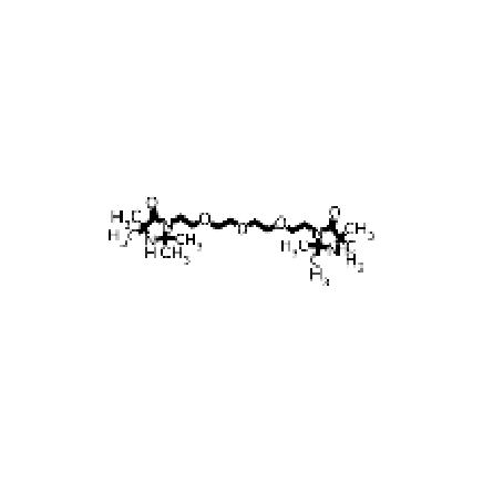 CC1(C)NC(C)(C)N(CCOCCOCCOCCN2C(=O)C(C)(C)NC2(C)C)C1=O